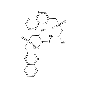 CCC[C@@H](CS(=O)(=O)Cc1cnc2ccccc2c1)NON(C=O)[C@@H](CCC)CS(=O)(=O)Cc1cnc2ccccc2c1